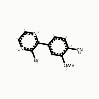 COc1cc(-c2nccnc2Br)ccc1C#N